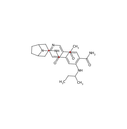 CCC(C)Nc1cc(C(=O)NC2CC3CCC(C2)N3c2ccc(C(C)=O)cn2)ccc1C(N)=O